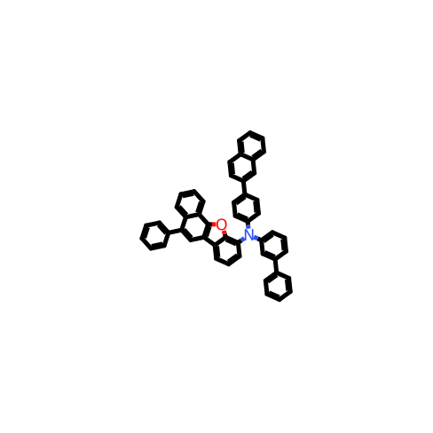 c1ccc(-c2cccc(N(c3ccc(-c4ccc5ccccc5c4)cc3)c3cccc4c3oc3c5ccccc5c(-c5ccccc5)cc43)c2)cc1